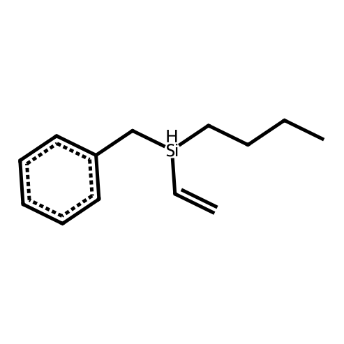 C=C[SiH](CCCC)Cc1ccccc1